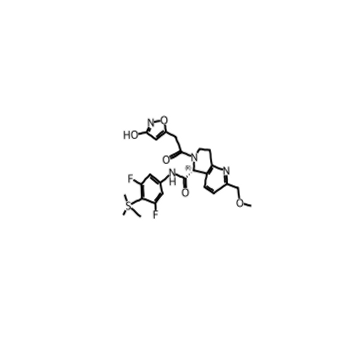 COCc1ccc2c(n1)CCN(C(=O)Cc1cc(O)no1)[C@H]2C(=O)Nc1cc(F)c(S(C)(C)C)c(F)c1